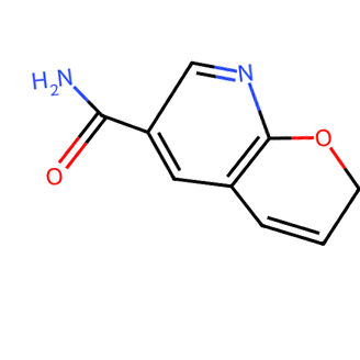 NC(=O)c1cnc2c(c1)C=CCO2